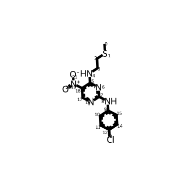 CSCCNc1nc(Nc2ccc(Cl)cc2)ncc1[N+](=O)[O-]